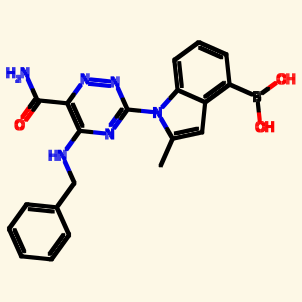 Cc1cc2c(B(O)O)cccc2n1-c1nnc(C(N)=O)c(NCc2ccccc2)n1